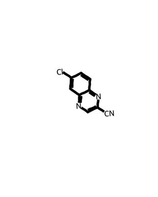 N#Cc1cnc2cc(Cl)ccc2n1